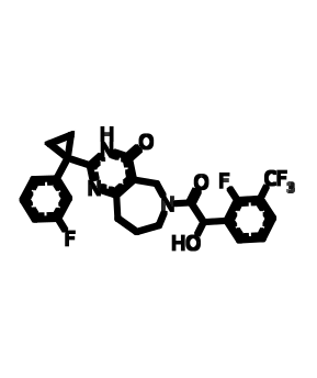 O=C(C(O)c1cccc(C(F)(F)F)c1F)N1CCCc2nc(C3(c4cccc(F)c4)CC3)[nH]c(=O)c2C1